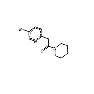 O=C(Cc1ccc(Br)cn1)N1CCCCC1